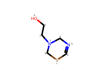 OCCN1CN=CSC1